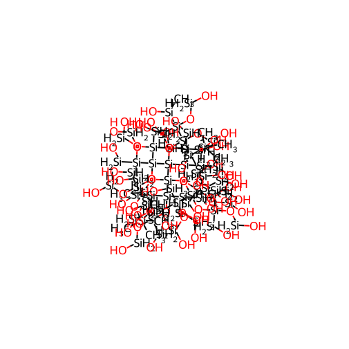 C[SiH](O)[Si](O[SiH2]O)([SiH2]O)[Si](O[SiH2]O)(O[Si]([Si](O[Si](C)(C)O[Si](C)(C)C)(O[Si](O[Si](O[SiH2]O)([SiH2]O)[SiH2]O)([Si](O[SiH2]O)([SiH2]O)[SiH2]O)[Si](O[SiH2]O)([SiH2]O)[SiH2]O)[Si](O[Si](O[SiH2]O)([SiH2]O)[SiH2]O)([Si](O[SiH2]O)([SiH2]O)[SiH2]O)[Si](O[SiH2]O)([SiH2]O)[SiH2]O)([Si](O[Si](O[SiH2]O)([SiH2]O)[SiH2]O)([Si](O[SiH2]O)([SiH2]O)[SiH2]O)[Si](O[SiH2]O)([SiH2]O)[SiH2]O)[Si](O[Si](O[SiH2]O)([SiH2]O)[SiH2]O)([Si](O[SiH2]O)([SiH2]O)[SiH2]O)[Si](O[SiH2]O)([SiH2]O)[SiH2]O)[Si](O)([SiH2]O)[Si](C)(C)C